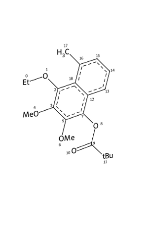 CCOc1c(OC)c(OC)c(OC(=O)C(C)(C)C)c2cccc(C)c12